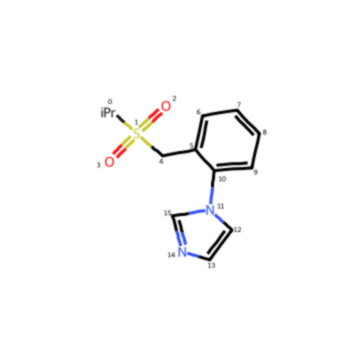 CC(C)S(=O)(=O)Cc1ccccc1-n1ccnc1